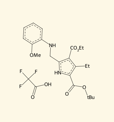 CCOC(=O)c1c(CNc2ccccc2OC)[nH]c(C(=O)OC(C)(C)C)c1CC.O=C(O)C(F)(F)F